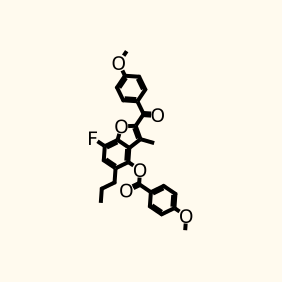 CCCc1cc(F)c2oc(C(=O)c3ccc(OC)cc3)c(C)c2c1OC(=O)c1ccc(OC)cc1